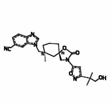 CC(C)(CO)c1cc(N2C[C@@]3(CCC[C@](C)(Cn4cnc5ccc(C#N)cc54)C3)OC2=O)on1